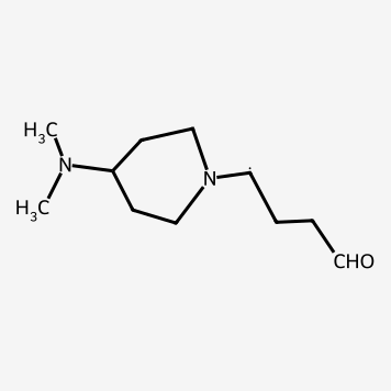 CN(C)C1CCN([CH]CCC=O)CC1